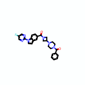 O=C(c1ccccc1)N1CCN(C2CN(C(=O)c3ccc4c(ccn4-c4ncc(F)cn4)c3)C2)CC1